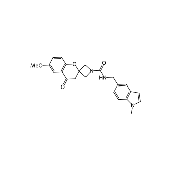 COc1ccc2c(c1)C(=O)CC1(CN(C(=O)NCc3ccc4c(ccn4C)c3)C1)O2